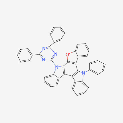 c1ccc(-c2nc(-c3ccccc3)nc(-n3c4ccccc4c4c5c6ccccc6n(-c6ccccc6)c5c5c6ccccc6oc5c43)n2)cc1